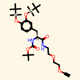 C#COCCOCCNC(=O)[C@H](Cc1ccc(O[Si](C)(C)C(C)(C)C)c(O[Si](C)(C)C(C)(C)C)c1)NC(=O)OC(C)(C)C